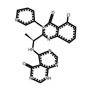 C[C@H](Nc1ncnc2[nH]cnc(=O)c12)c1nc2cccc(Cl)c2c(=O)n1-c1cccnc1